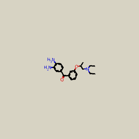 CCN(CC)CC(C)Oc1cccc(C(=O)c2ccc(N)c(N)c2)c1